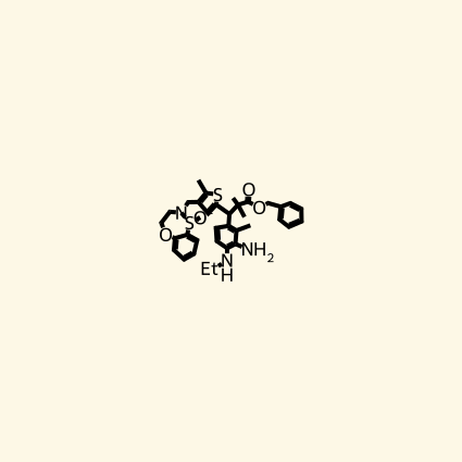 CCNc1ccc(C(c2cc(CN3CCOc4ccccc4[S+]3[O-])c(C)s2)C(C)(C)C(=O)OCc2ccccc2)c(C)c1N